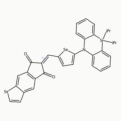 CC(C)[Si]1(C(C)C)c2ccccc2N(c2ccc(/C=C3\C(=O)c4cc5cc[se]c5cc4C3=O)[se]2)c2ccccc21